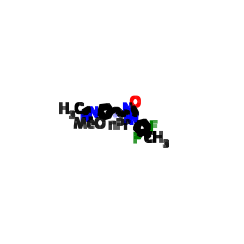 CCCN1C(/C=C/c2ccc(-n3cnc(C)c3)c(OC)c2)=NC(=O)CN1c1cc(F)c(C)c(F)c1